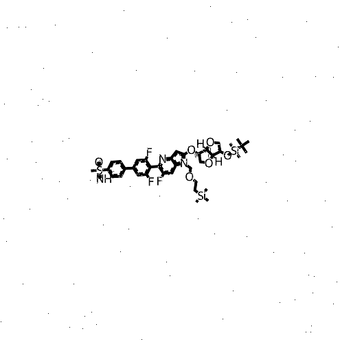 CC(C)(C)[Si](C)(C)OC1CO[C@H]2[C@@H]1OC[C@H]2Oc1cc2nc(-c3c(F)cc(-c4ccc(S(C)(=N)=O)cc4)cc3F)c(F)cc2n1COCC[Si](C)(C)C